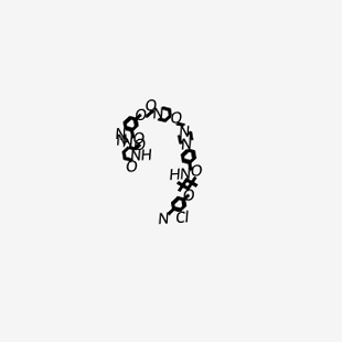 CC1(C)[C@H](NC(=O)c2ccc(N3CCN(CCOC4CCN(C(=O)COc5ccc6nnn(C7CCC(=O)NC7=O)c(=O)c6c5)CC4)CC3)cc2)C(C)(C)[C@H]1Oc1ccc(C#N)c(Cl)c1